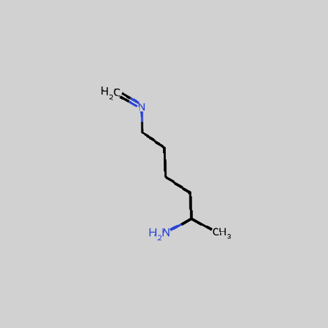 C=NCCCCC(C)N